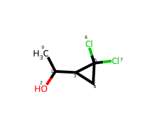 CC(O)C1CC1(Cl)Cl